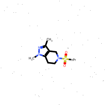 CCCS(=O)(=O)N1CCc2c(c(C)nn2C)C1